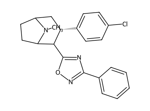 CN1C2CCC1C(c1nc(-c3ccccc3)no1)[C@@H](c1ccc(Cl)cc1)C2